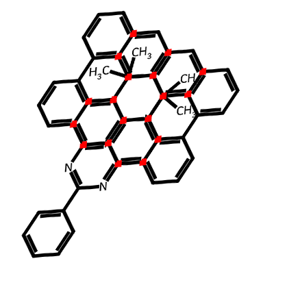 CC1(C)c2ccccc2C(c2c(-c3ccccc3)cccc2-c2nc(-c3ccccc3)nc(-c3cccc(-c4ccccc4)c3N3c4ccccc4C(C)(C)c4ccccc43)n2)c2ccccc21